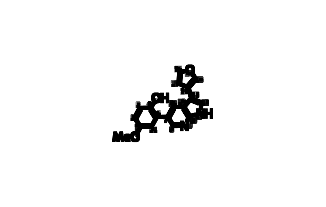 COc1ccc(O)c(-c2cnc3[nH]cc(-c4ccoc4)c3c2)c1